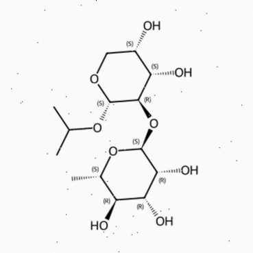 CC(C)O[C@@H]1OC[C@H](O)[C@H](O)[C@H]1O[C@@H]1O[C@@H](C)[C@H](O)[C@@H](O)[C@H]1O